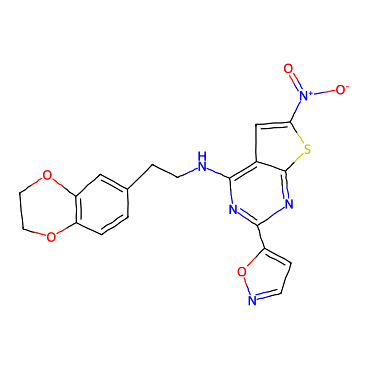 O=[N+]([O-])c1cc2c(NCCc3ccc4c(c3)OCCO4)nc(-c3ccno3)nc2s1